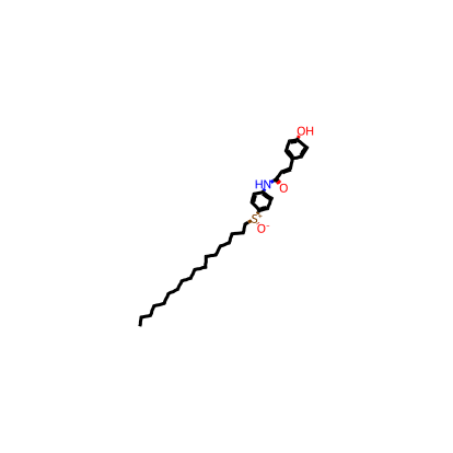 CCCCCCCCCCCCCCCCCC[S+]([O-])c1ccc(NC(=O)C=Cc2ccc(O)cc2)cc1